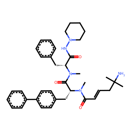 CN(C(=O)/C=C/CC(C)(C)N)[C@H](Cc1ccc(-c2ccccc2)cc1)C(=O)N(C)[C@H](Cc1ccccc1)C(=O)NN1CCCCC1